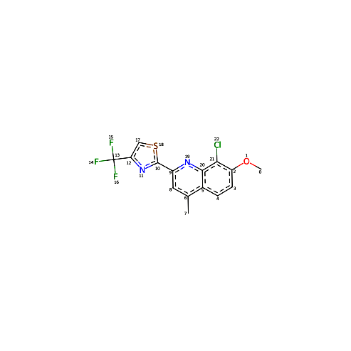 COc1ccc2c(C)cc(-c3nc(C(F)(F)F)cs3)nc2c1Cl